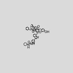 C=CCN1CC(=O)N2[C@@H](Cc3ccc(O)cc3)C(=O)N(Cc3cccc4c(-c5ccc(NC(=O)NC6CCCCC6)nc5)cn(C)c34)C[C@@H]2N1C(=O)NCc1ccccc1